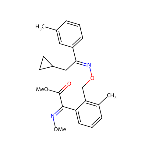 CO/N=C(/C(=O)OC)c1cccc(C)c1CO/N=C(\CC1CC1)c1cccc(C)c1